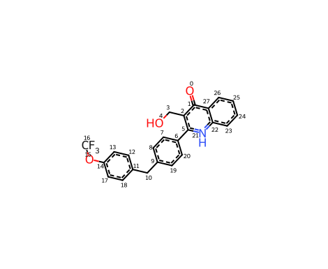 O=c1c(CO)c(-c2ccc(Cc3ccc(OC(F)(F)F)cc3)cc2)[nH]c2ccccc12